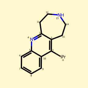 CC(C)c1c2c(nc3ccccc13)CCNCC2